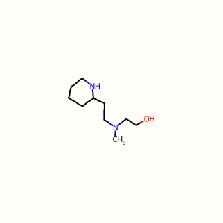 CN(CCO)CCC1CCCCN1